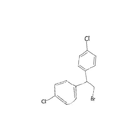 Clc1ccc(C(CBr)c2ccc(Cl)cc2)cc1